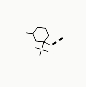 CC1CCCC(N=C=O)([N+](C)(C)C)C1